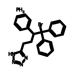 BrC(c1ccccc1)(c1ccccc1)C(CCc1nnn[nH]1)c1ccccc1.P